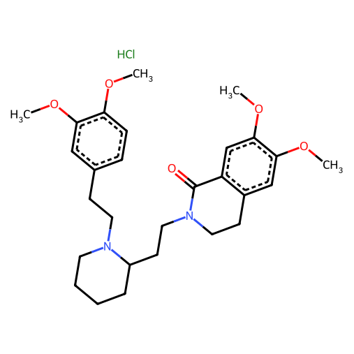 COc1ccc(CCN2CCCCC2CCN2CCc3cc(OC)c(OC)cc3C2=O)cc1OC.Cl